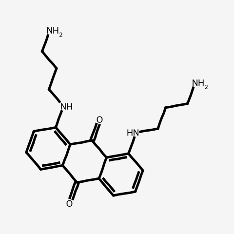 NCCCNc1cccc2c1C(=O)c1c(NCCCN)cccc1C2=O